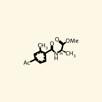 COC(=O)[C@@H](C)NC(=O)c1ccc(C(C)=O)cc1C